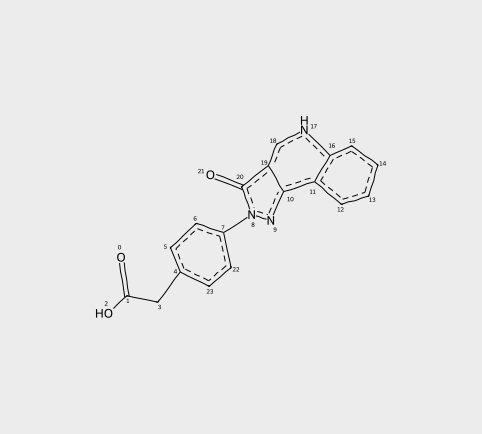 O=C(O)Cc1ccc(-n2nc3c4ccccc4[nH]cc-3c2=O)cc1